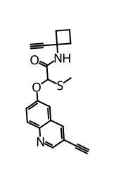 C#Cc1cnc2ccc(OC(SC)C(=O)NC3(C#C)CCC3)cc2c1